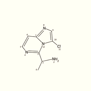 CC(N)c1nccc2ncc(Cl)n12